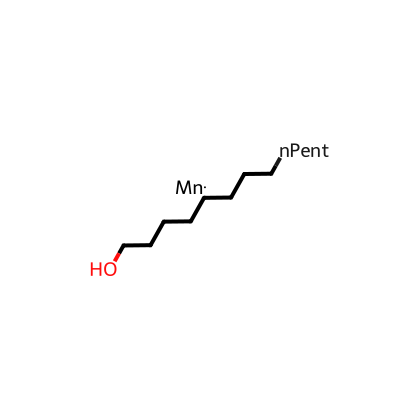 CCCCCCCCCCCCCO.[Mn]